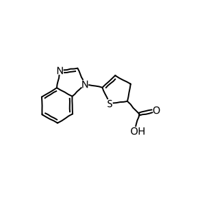 O=C(O)C1CC=C(n2cnc3ccccc32)S1